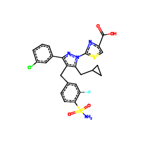 NS(=O)(=O)c1ccc(Cc2c(-c3cccc(Cl)c3)nn(-c3nc(C(=O)O)cs3)c2CC2CC2)cc1F